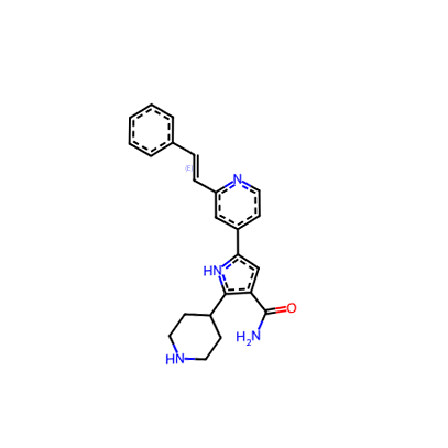 NC(=O)c1cc(-c2ccnc(/C=C/c3ccccc3)c2)[nH]c1C1CCNCC1